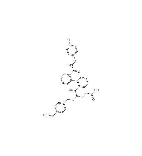 COc1ccc(CCN(CCC(=O)O)C(=O)c2ccccc2-c2ccccc2C(=O)NCc2ccc(Cl)cc2)cc1